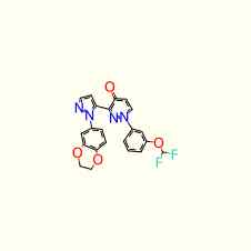 O=c1ccn(-c2cccc(OC(F)F)c2)nc1-c1ccnn1-c1ccc2c(c1)OCCO2